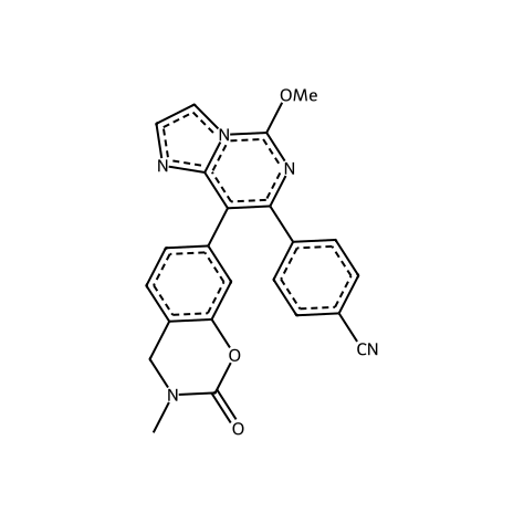 COc1nc(-c2ccc(C#N)cc2)c(-c2ccc3c(c2)OC(=O)N(C)C3)c2nccn12